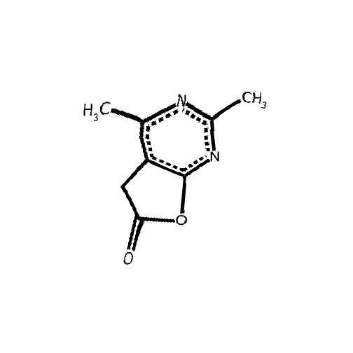 Cc1nc(C)c2c(n1)OC(=O)C2